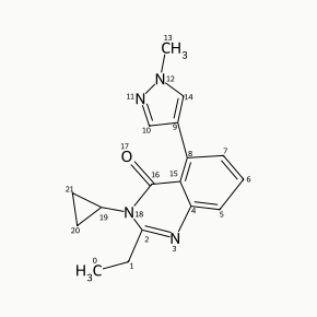 CCc1nc2cccc(-c3cnn(C)c3)c2c(=O)n1C1CC1